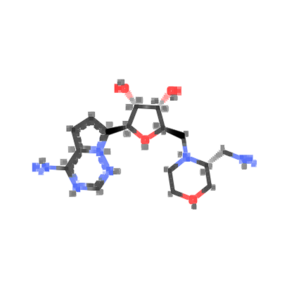 NC[C@@H]1COCCN1C[C@H]1O[C@@H](c2ccc3c(N)ncnn23)[C@H](O)[C@@H]1O